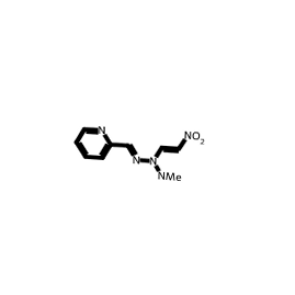 CNN(C=C[N+](=O)[O-])N=Cc1ccccn1